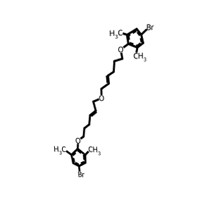 Cc1cc(Br)cc(C)c1OCCCC=CCOCC=CCCCOc1c(C)cc(Br)cc1C